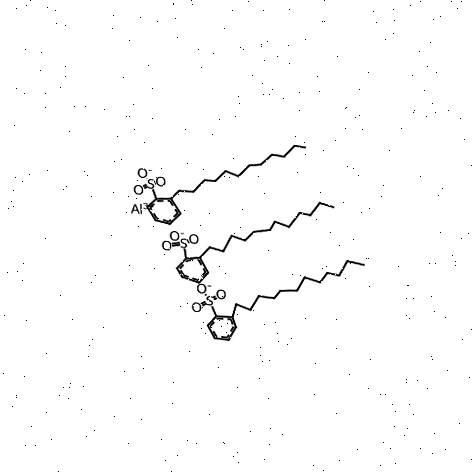 CCCCCCCCCCCCc1ccccc1S(=O)(=O)[O-].CCCCCCCCCCCCc1ccccc1S(=O)(=O)[O-].CCCCCCCCCCCCc1ccccc1S(=O)(=O)[O-].[Al+3]